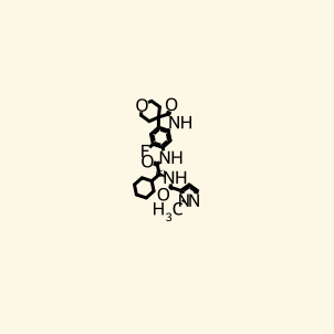 Cn1nccc1C(=O)N[C@H](C(=O)Nc1cc2c(cc1F)C1(CCOCC1)C(=O)N2)C1CCCCC1